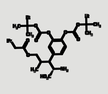 CCC(C)(C)OC(=O)Oc1ccc(C(C(C)COC(=O)CC(C)C)[C@H](N)C(=O)O)cc1OC(=O)OC(C)(C)CC